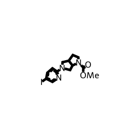 COC(=O)N1CCC2CN(c3ccc(I)cn3)CC21